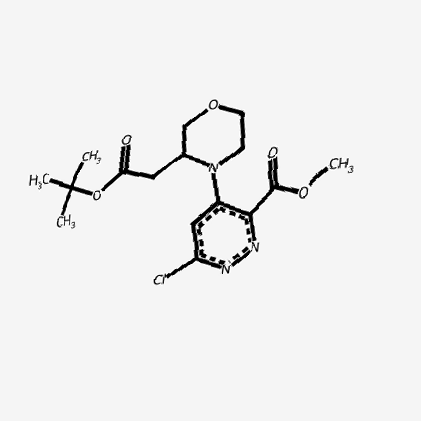 COC(=O)c1nnc(Cl)cc1N1CCOCC1CC(=O)OC(C)(C)C